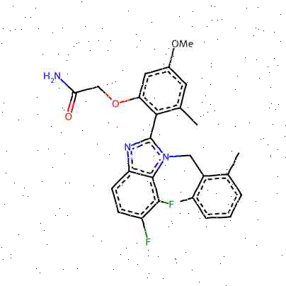 COc1cc(C)c(-c2nc3ccc(F)c(F)c3n2Cc2c(C)cccc2C)c(OCC(N)=O)c1